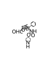 CC(C)(C)OC=O.O=C(Nc1ccsc1-c1ccccc1)OC1CCNCC1